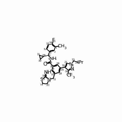 Cc1cc(C(NC(=O)c2cc(CN3CCSC3=N)cc(-c3cn(CC(C)C)nc3C(F)(F)F)c2)C2CC2)ccc1F